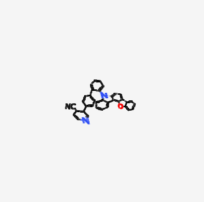 N#Cc1ccncc1-c1ccc(-c2ccccc2-n2c3ccccc3c3c4oc5ccccc5c4ccc32)cc1